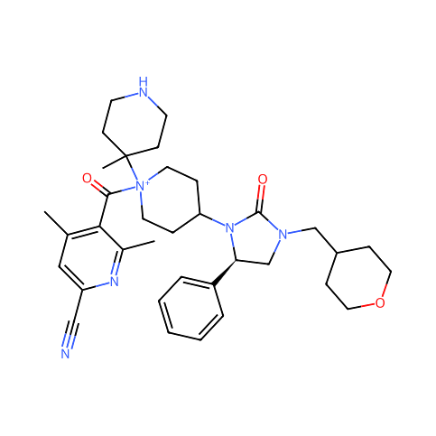 Cc1cc(C#N)nc(C)c1C(=O)[N+]1(C2(C)CCNCC2)CCC(N2C(=O)N(CC3CCOCC3)C[C@H]2c2ccccc2)CC1